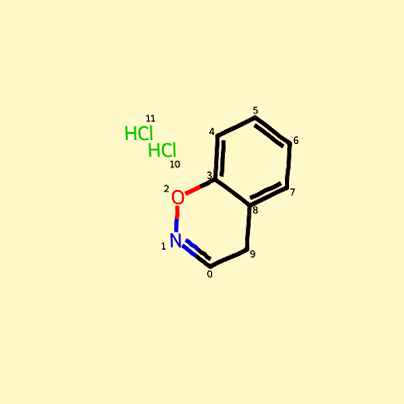 C1=NOc2ccccc2C1.Cl.Cl